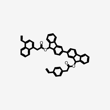 C=Cc1ccc(CC(=O)OC2c3ccccc3-c3ccc(-c4ccc5c(c4)-c4ccccc4C5OC(=O)Cc4ccc(C=C)c5ccccc45)cc32)cc1